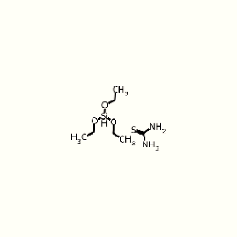 CCO[SiH](OCC)OCC.NC(N)=S